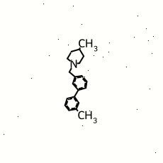 Cc1cccc(-c2cccc(CN3CCC(C)CC3)c2)c1